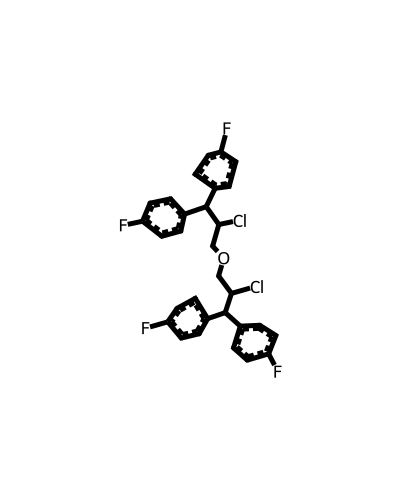 Fc1ccc(C(c2ccc(F)cc2)C(Cl)COCC(Cl)C(c2ccc(F)cc2)c2ccc(F)cc2)cc1